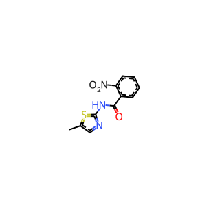 Cc1cnc(NC(=O)c2ccccc2[N+](=O)[O-])s1